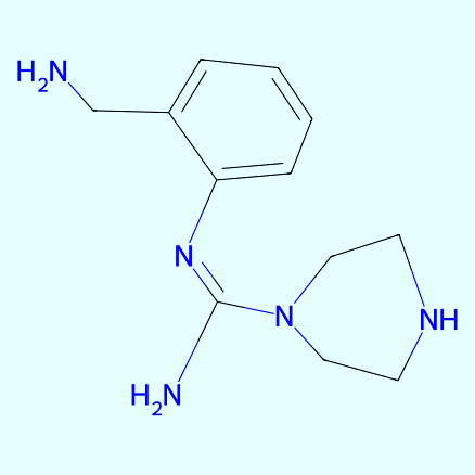 NCc1ccccc1N=C(N)N1CCNCC1